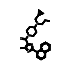 CCCN(CC1CC1)C1CCN(C(=O)c2sc(-c3cccc4ccccc34)nc2C)CC1